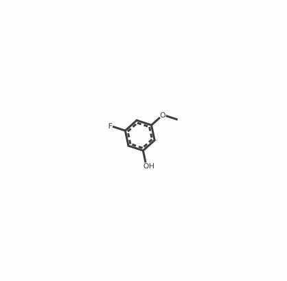 COc1[c]c(O)cc(F)c1